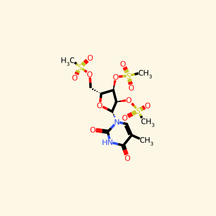 Cc1cn([C@@H]2O[C@H](COS(C)(=O)=O)[C@@H](OS(C)(=O)=O)[C@H]2OS(C)(=O)=O)c(=O)[nH]c1=O